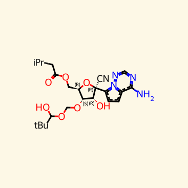 CC(C)CC(=O)OC[C@H]1O[C@@](C#N)(c2ccc3c(N)ncnn23)[C@H](O)[C@@H]1OCOC(O)C(C)(C)C